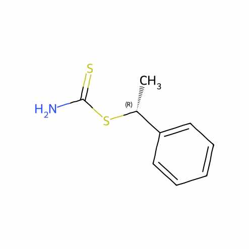 C[C@@H](SC(N)=S)c1ccccc1